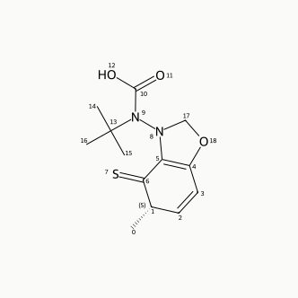 C[C@H]1C=CC2=C(C1=S)N(N(C(=O)O)C(C)(C)C)CO2